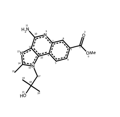 COC(=O)c1ccc2c(c1)nc(N)c1nc(C)n(CC(C)(C)O)c12